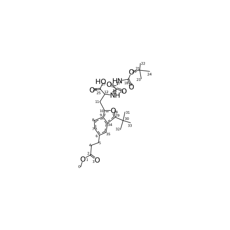 COC(=O)CCc1ccc2c(CC(NS(=O)(=O)NC(=O)OC(C)(C)C)C(=O)O)oc(C(C)(C)C)c2c1